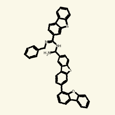 NC(N/C(=N\Cc1ccccc1)c1ccc2c(c1)sc1ccccc12)c1ccc2sc3cc(-c4cccc5c4oc4ccccc45)ccc3c2c1